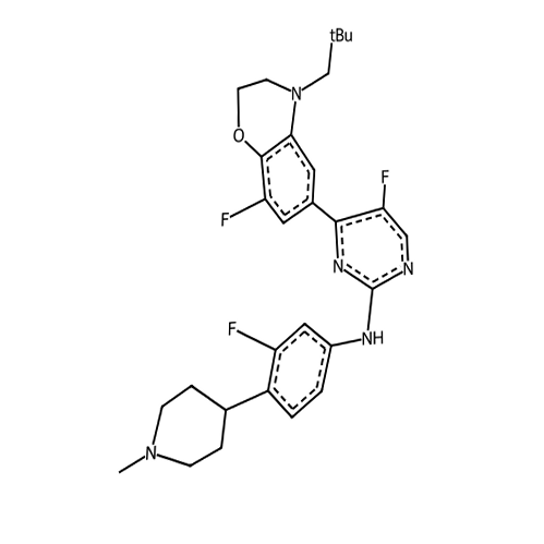 CN1CCC(c2ccc(Nc3ncc(F)c(-c4cc(F)c5c(c4)N(CC(C)(C)C)CCO5)n3)cc2F)CC1